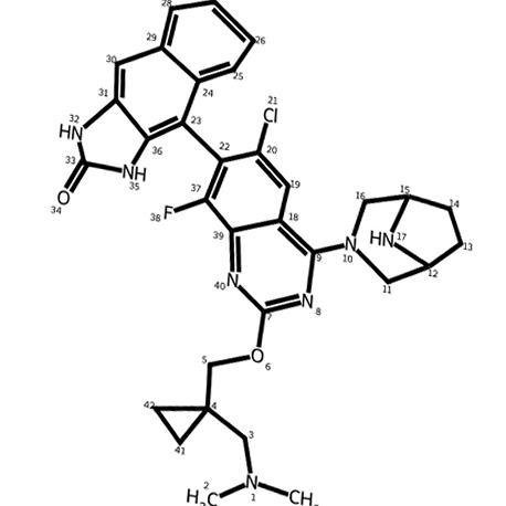 CN(C)CC1(COc2nc(N3CC4CCC(C3)N4)c3cc(Cl)c(-c4c5ccccc5cc5[nH]c(=O)[nH]c45)c(F)c3n2)CC1